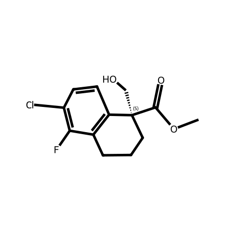 COC(=O)[C@@]1(CO)CCCc2c1ccc(Cl)c2F